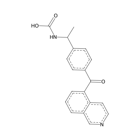 CC(NC(=O)O)c1ccc(C(=O)c2cccc3cnccc23)cc1